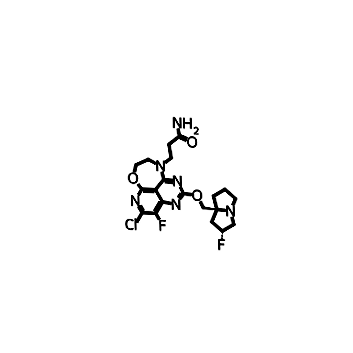 NC(=O)CCN1CCOc2nc(Cl)c(F)c3nc(OC[C@@]45CCCN4C[C@H](F)C5)nc1c23